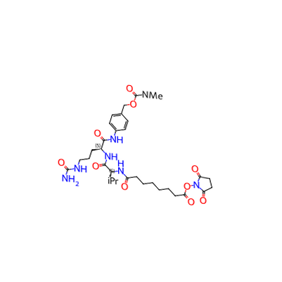 CNC(=O)OCc1ccc(NC(=O)[C@H](CCCNC(N)=O)NC(=O)[C@@H](NC(=O)CCCCCCC(=O)ON2C(=O)CCC2=O)C(C)C)cc1